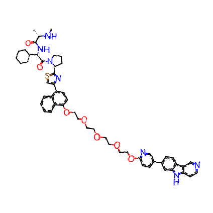 CN[C@@H](C)C(=O)N[C@H](C(=O)N1CCC[C@H]1c1nc(-c2ccc(OCCOCCOCCOCCOc3ccc(-c4ccc5c(c4)[nH]c4ccncc45)cn3)c3ccccc23)cs1)C1CCCCC1